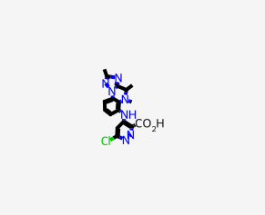 Cc1nc2n(n1)-c1cccc(Nc3cc(Cl)nnc3C(=O)O)c1N(C)C2C